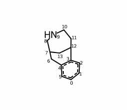 c1ccc2c(c1)CC1CNCCC2C1